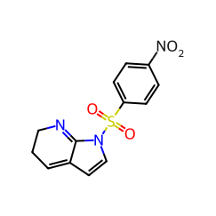 O=[N+]([O-])c1ccc(S(=O)(=O)n2ccc3c2=NCCC=3)cc1